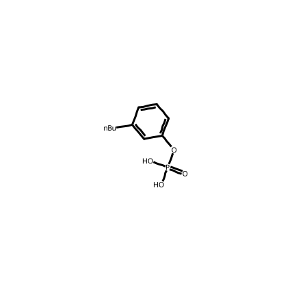 CCCCc1cccc(OP(=O)(O)O)c1